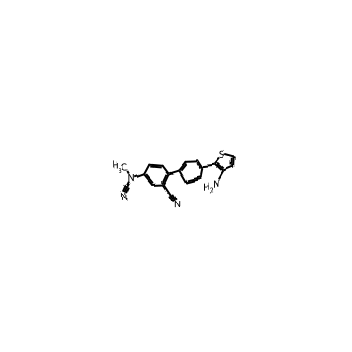 CN(C#N)c1ccc(-c2ccc(-c3sccc3N)cc2)c(C#N)c1